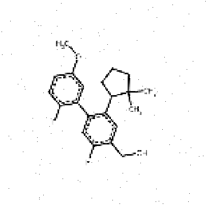 COc1ccc(F)c(-c2cc(F)c(CO)cc2C2CCCC2(C)C)c1